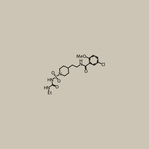 CCNC(=O)NS(=O)(=O)N1CCC(CCNC(=O)c2cc(Cl)ccc2OC)CC1